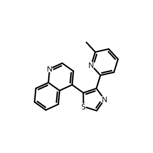 Cc1cccc(-c2ncsc2-c2ccnc3ccccc23)n1